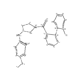 CSc1cnc(NC2CCN(C(=O)c3ccccc3-c3ccccc3C)C2)nc1